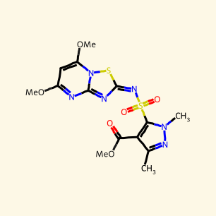 COC(=O)c1c(C)nn(C)c1S(=O)(=O)N=c1nc2nc(OC)cc(OC)n2s1